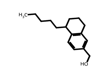 CCCCCC1CCCc2cc(CO)ccc21